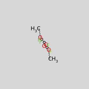 CCCCCCCCOc1ccc(-c2ccc(OC(=O)c3ccc(OCC(F)CCCCCC)cc3F)cc2)c(F)c1F